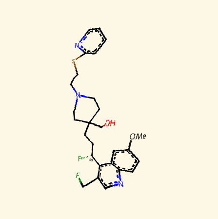 COc1ccc2ncc(CF)c([C@H](F)CCC3(CO)CCN(CCSc4ccccn4)CC3)c2c1